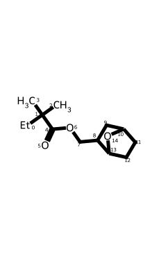 CCC(C)(C)C(=O)OCC1CC2CCC1O2